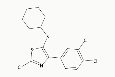 Clc1nc(-c2ccc(Cl)c(Cl)c2)c(SC2CCCCC2)s1